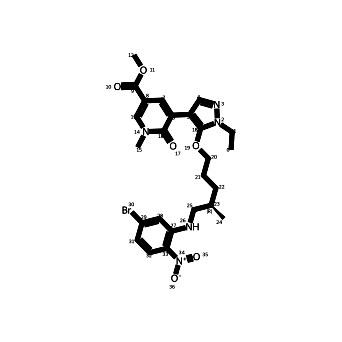 CCn1ncc(-c2cc(C(=O)OC)cn(C)c2=O)c1OCCC[C@@H](C)CNc1cc(Br)ccc1[N+](=O)[O-]